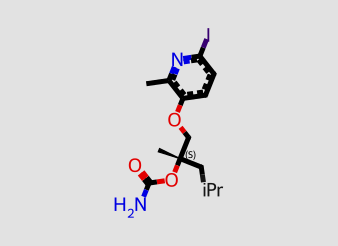 Cc1nc(I)ccc1OC[C@](C)(CC(C)C)OC(N)=O